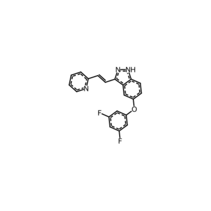 Fc1cc(F)cc(Oc2ccc3[nH]nc(C=Cc4ccccn4)c3c2)c1